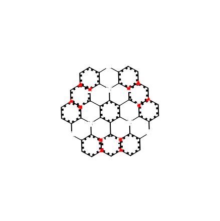 c1cnc(-c2c(N3c4ccccc4Sc4ccccc43)c(-c3ncccn3)c(N3c4ccccc4Sc4ccccc43)c(-c3ncccn3)c2N2c3ccccc3Sc3ccccc32)nc1